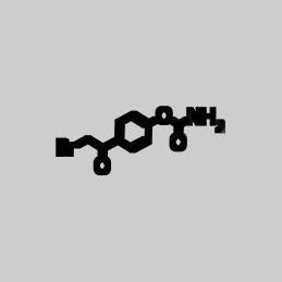 NC(=O)Oc1ccc(C(=O)CBr)cc1